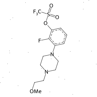 COCCN1CCN(c2cccc(OS(=O)(=O)C(F)(F)F)c2F)CC1